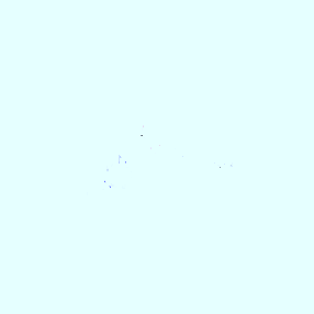 C=Cn1cc[n+](CC(=O)OCCCCCCCCCCCC)c1